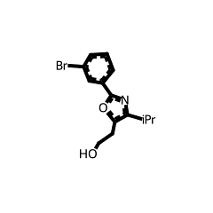 CC(C)c1nc(-c2cccc(Br)c2)oc1CCO